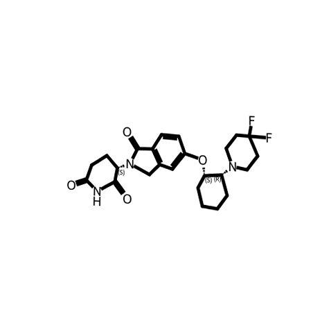 O=C1CC[C@H](N2Cc3cc(O[C@H]4CCCC[C@H]4N4CCC(F)(F)CC4)ccc3C2=O)C(=O)N1